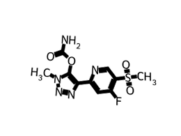 Cn1nnc(-c2cc(F)c(S(C)(=O)=O)cn2)c1OC(N)=O